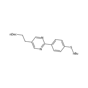 CCCCCCCCCCCCc1cnc(-c2ccc(SCCCC)cc2)nc1